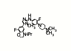 CC(C)N1CCOc2c(F)cc(-c3cnc(Nc4ccc(N5CCC(N(C)C)CC5)c(F)c4)n3C)cc21